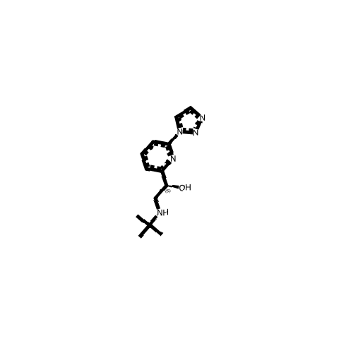 CC(C)(C)NC[C@H](O)c1cccc(-n2ccnn2)n1